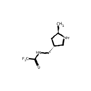 C[C@@H]1C[C@@H](CNC(=O)C(F)(F)F)CN1